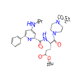 CCOC(=O)N1CCN(C(=O)C(CCC(=O)OC(C)(C)C)NC(=O)c2cc(NC(C)C)cc(-c3ccccc3)n2)CC1